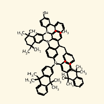 Cc1cc2c3c(c1)N(c1ccc(C(C)(C)C)cc1-c1ccccc1)c1cc4c(cc1B3c1ccc(N(c3ccc5c(c3)C(C)(C)c3ccccc3C5(C)C)c3ccc5c(c3)C(C)(C)c3ccccc3C5(C)C)cc1C2Cc1ccc(C(C)(C)C)cc1)C(C)(C)CCC4(C)C